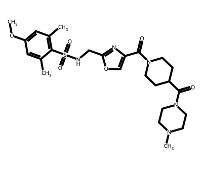 COc1cc(C)c(S(=O)(=O)NCc2nc(C(=O)N3CCC(C(=O)N4CCN(C)CC4)CC3)co2)c(C)c1